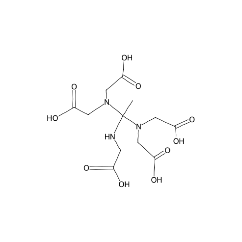 CC(NCC(=O)O)(N(CC(=O)O)CC(=O)O)N(CC(=O)O)CC(=O)O